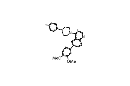 COc1ccc(-c2ccc3ncnc(N4CCN(c5ccc(C)cc5)CC4)c3c2)cc1OC